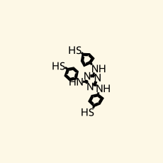 Sc1ccc(Nc2nc(Nc3ccc(S)cc3)nc(Nc3ccc(S)cc3)n2)cc1